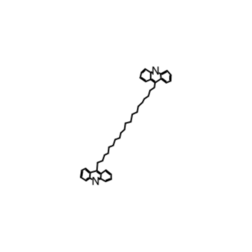 c1ccc2c(CCCCCCCCCCCCCCCCCCCCc3c4ccccc4nc4ccccc34)c3ccccc3nc2c1